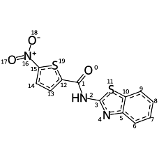 O=C(Nc1nc2ccccc2s1)c1ccc([N+](=O)[O-])s1